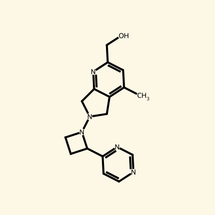 Cc1cc(CO)nc2c1CN(N1CCC1c1ccncn1)C2